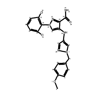 COc1ccc(Cn2cc(Nc3cn(-c4c(Cl)cccc4Cl)nc3C(N)=O)cn2)cc1